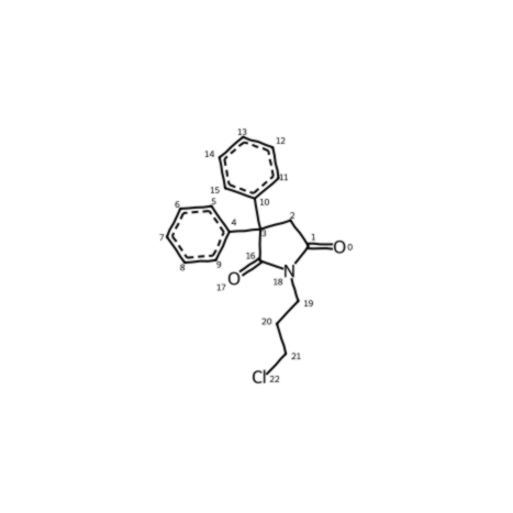 O=C1CC(c2ccccc2)(c2ccccc2)C(=O)N1CCCCl